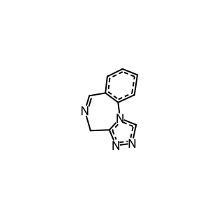 C1=NCc2nncn2-c2ccccc21